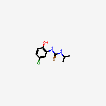 CC(C)NC(=S)Nc1cc(Cl)ccc1O